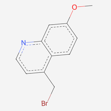 COc1ccc2c(CBr)ccnc2c1